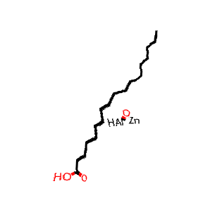 CCCCCCCCCCCCCCCCCC(=O)O.[O]=[AlH].[Zn]